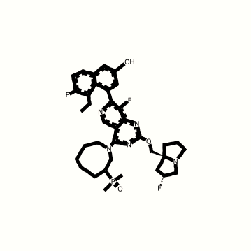 CCc1c(F)ccc2cc(O)cc(-c3ncc4c(N5CCCCCC(P(C)(C)=O)C5)nc(OC[C@@]56CCCN5C[C@H](F)C6)nc4c3F)c12